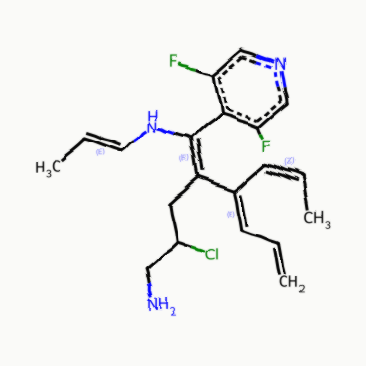 C=C/C=C(\C=C/C)C(/CC(Cl)CN)=C(/N/C=C/C)c1c(F)cncc1F